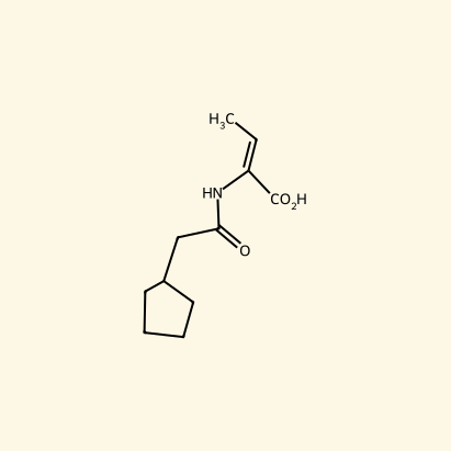 C/C=C(\NC(=O)CC1CCCC1)C(=O)O